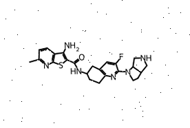 Cc1ccc2c(N)c(C(=O)NC3CCc4nc(N5CCC6CNCC65)c(F)cc4C3)sc2n1